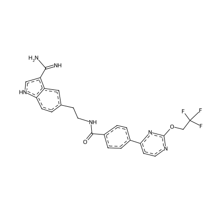 N=C(N)c1c[nH]c2ccc(CCNC(=O)c3ccc(-c4ccnc(OCC(F)(F)F)n4)cc3)cc12